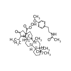 CC(C)C1=C2[C@H]3CC[C@@H]4[C@@]5(C)CCCC(C)(C)[C@@H]5CC[C@@]4(C)[C@]3(C)CC[C@@]2(C(=O)OO)CC1=O.COc1ccc(CCNC(C)=O)cc1